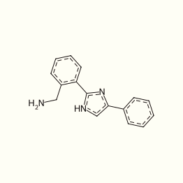 NCc1ccccc1-c1nc(-c2ccccc2)c[nH]1